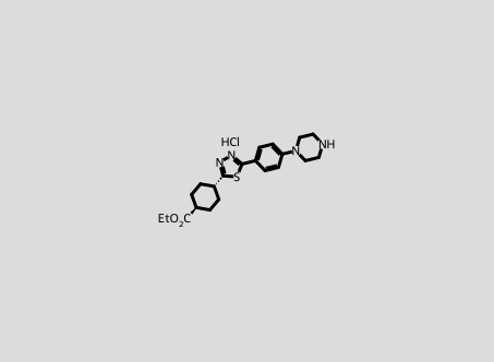 CCOC(=O)[C@H]1CC[C@H](c2nnc(-c3ccc(N4CCNCC4)cc3)s2)CC1.Cl